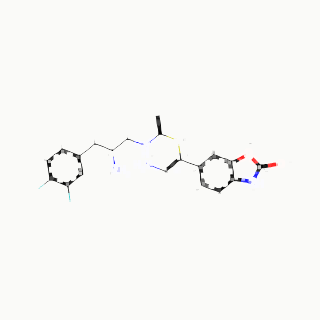 C=C(NC[C@@H](N)Cc1ccc(F)c(F)c1)S/C(=C\N)c1ccc2[nH]c(=O)oc2c1